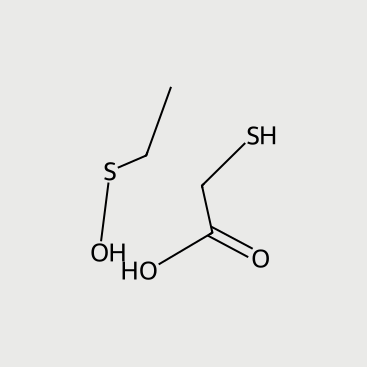 CCSO.O=C(O)CS